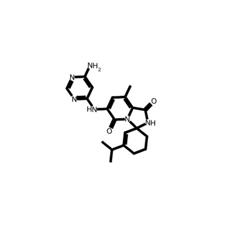 Cc1cc(Nc2cc(N)ncn2)c(=O)n2c1C(=O)NC21C=C(C(C)C)CCC1